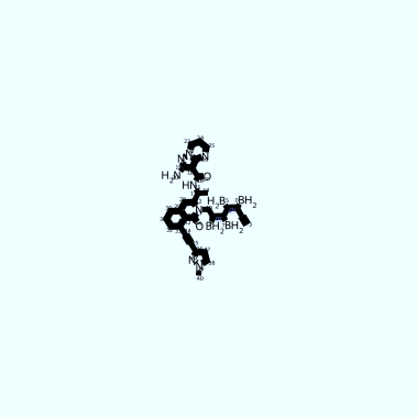 B/C(C#C)=C(B)/C(B)=C(/B)Cn1c(C(C)NC(=O)c2c(N)nn3cccnc23)cc2cccc(C#Cc3ccn(C)n3)c2c1=O